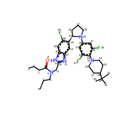 CCCC(=O)N(CCC)Cc1nc2cc([C@H]3CCCN3c3cc(F)c(N4CCC(C(C)(C)C)CC4)c(F)c3)c(F)cc2[nH]1